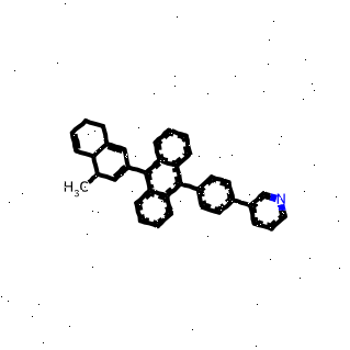 CC1C=C(c2c3ccccc3c(-c3ccc(-c4cccnc4)cc3)c3ccccc23)C=C2CCC=CC21